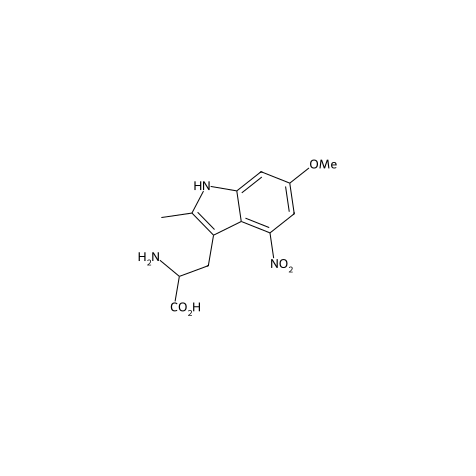 COc1cc([N+](=O)[O-])c2c(CC(N)C(=O)O)c(C)[nH]c2c1